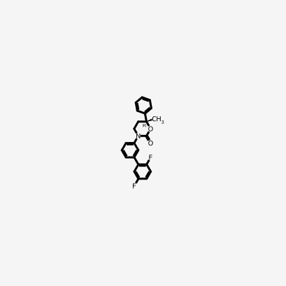 C[C@]1(c2ccccc2)CCN(c2cccc(-c3cc(F)ccc3F)c2)C(=O)O1